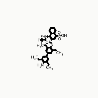 CCc1cc(-c2cc(CC)c(/N=N/c3cc(S(=O)(=O)O)c4ccccc4c3NC(=O)C(F)(F)F)c(CC)c2)cc(CC)c1N